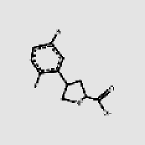 O=C(O)C1CC(c2cc(Br)ccc2F)CN1